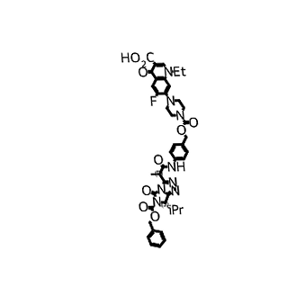 CCn1cc(C(=O)O)c(=O)c2cc(F)c(N3CCN(C(=O)OCc4ccc(NC(=O)[C@H](C)c5nnc6n5C(=O)N(C(=O)OCc5ccccc5)[C@H]6C(C)C)cc4)CC3)cc21